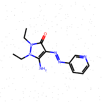 CCn1c(N)c(/N=N/c2cccnc2)c(=O)n1CC